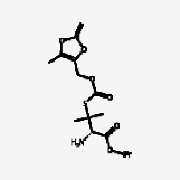 C=C1OC(C)=C(COC(=O)SC(C)(C)[C@@H](N)C(=O)OC(C)C)O1